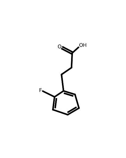 O=C(O)CCc1ccccc1F